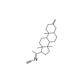 C#C/N=C(\C)C1CCC2(C)C3CCC4CC(=C)CCC4(C)C3CCC12C